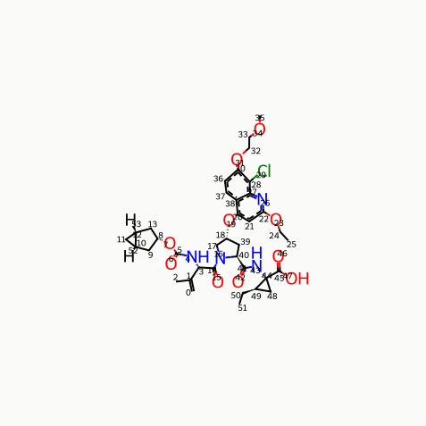 C=C(C)[C@H](NC(=O)O[C@@H]1C[C@@H]2C[C@@H]2C1)C(=O)N1C[C@H](Oc2cc(OCC)nc3c(Cl)c(OCCOC)ccc23)C[C@H]1C(=O)N[C@]1(C(=O)O)C[C@H]1CC